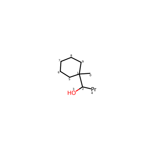 CC1([CH](O)[Pr])CCCCC1